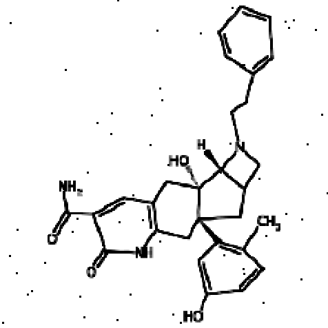 Cc1ccc(O)cc1[C@@]12Cc3[nH]c(=O)c(C(N)=O)cc3C[C@@]1(O)[C@H]1C(CN1CCc1ccccc1)C2